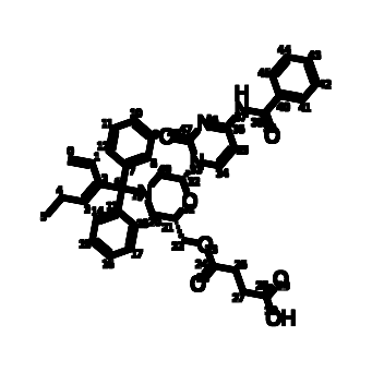 C=C/C(=C\CC)C(c1ccccc1)(c1ccccc1)N1C[C@@H](COC(=O)CCC(=O)O)O[C@@H](n2ccc(NC(=O)c3ccccc3)nc2=O)C1